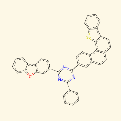 c1ccc(-c2nc(-c3ccc4c(ccc5ccc6c7ccccc7sc6c54)c3)nc(-c3ccc4c(c3)oc3ccccc34)n2)cc1